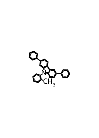 Cc1ccccc1-n1c2ccc(-c3ccccc3)cc2c2ccc(-c3ccccc3)cc21